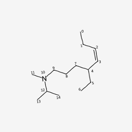 CC/C=C\C(CC)CCCN(C)C(C)C